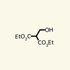 CCOC(=O)C(CO)C(=O)OCC